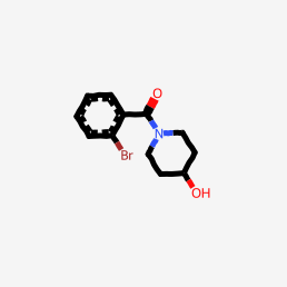 O=C(c1ccccc1Br)N1CCC(O)CC1